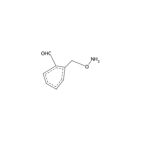 NOCc1ccccc1C=O